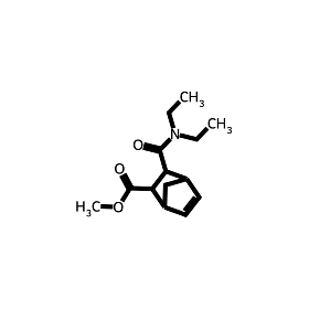 CCN(CC)C(=O)C1C2C=CC(C2)C1C(=O)OC